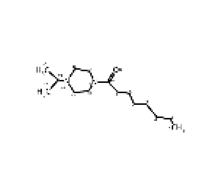 CCCCCCCC(=O)N1CCN(C(C)C)CC1